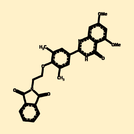 COc1cc(OC)c2c(=O)[nH]c(-c3cc(C)c(OCCN4C(=O)c5ccccc5C4=O)c(C)c3)nc2c1